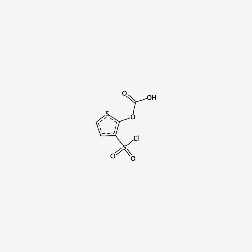 O=C(O)Oc1sccc1S(=O)(=O)Cl